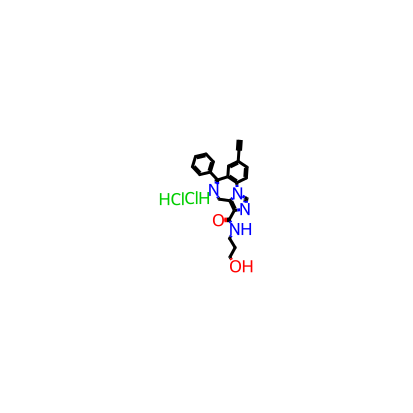 C#Cc1ccc2c(c1)C(c1ccccc1)=NCc1c(C(=O)NCCCO)ncn1-2.Cl.Cl